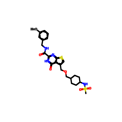 COc1cccc(CNC(=O)c2nc3scc(COCC4CCC(NS(C)(=O)=O)CC4)c3c(=O)[nH]2)c1